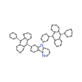 c1ccc(-c2c3ccccc3c(-c3cccc(-n4c5cc(-c6c7ccccc7c(-c7ccccc7)c7ccccc67)ccc5c5ncccc54)c3)c3ccccc23)cc1